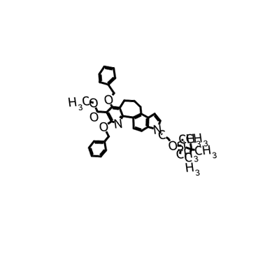 COC(=O)c1c(OCc2ccccc2)nc2c(c1OCc1ccccc1)CCCc1c-2ccc2c1ccn2CCO[Si](C)(C)C(C)(C)C